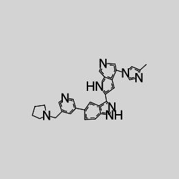 Cc1cn(-c2cncc3[nH]c(-c4n[nH]c5ccc(-c6cncc(CN7CCCC7)c6)cc45)cc23)cn1